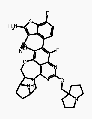 N#Cc1c(N)sc2c(F)ccc(-c3c(Cl)c4c5c(nc(OCC67CCCN6CCC7)nc5c3F)N3CC5CCC(N5)C3CO4)c12